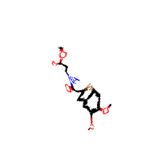 COC(=O)CCNC(=O)c1cc2cc(OC)c(OC)cc2s1